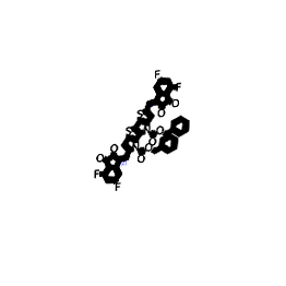 O=C1C(=O)c2c(F)cc(F)cc2/C1=C/c1cc2c(s1)c1sc3cc(/C=C4\C(=O)C(=O)c5c(F)cc(F)cc54)n(C(=O)OCc4ccccc4)c3c1n2C(=O)OCc1ccccc1